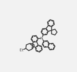 CCC1CC2CCCC(C1)C21c2ccccc2-c2c(N(c3ccc4c(c3)C3(CCCC3)c3ccccc3-4)c3ccc4ccccc4c3)cccc21